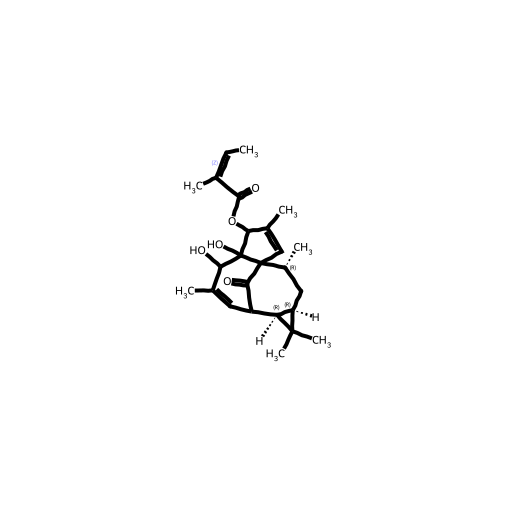 C/C=C(/C)C(=O)OC1C(C)=CC23C(=O)C(C=C(C)C(O)C12O)[C@H]1[C@@H](C[C@H]3C)C1(C)C